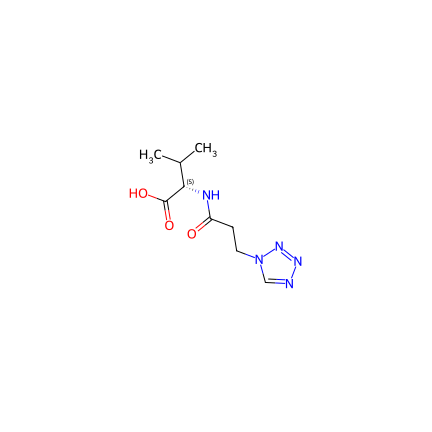 CC(C)[C@H](NC(=O)CCn1cnnn1)C(=O)O